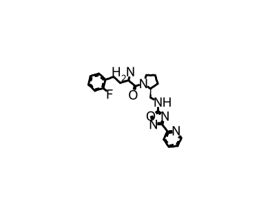 NC(CCc1ccccc1F)C(=O)N1CCC[C@H]1CNc1nc(-c2ccccn2)no1